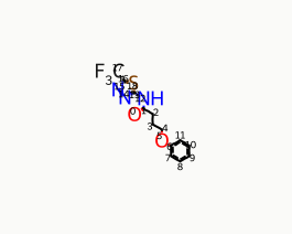 O=C(CCCOc1ccccc1)Nc1nnc(C(F)(F)F)s1